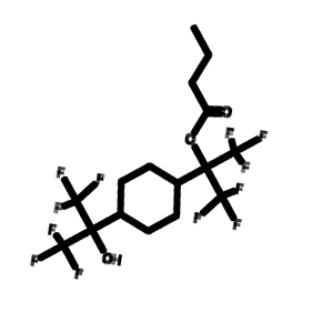 CCCC(=O)OC(C1CCC(C(O)(C(F)(F)F)C(F)(F)F)CC1)(C(F)(F)F)C(F)(F)F